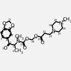 CC(C(=O)c1ccc2c(c1)OCO2)N(C)C(=O)OCOC(=O)CCN1CCN(C)CC1